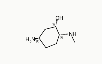 CN[C@@H]1CC[C@@H](N)C[C@@H]1O